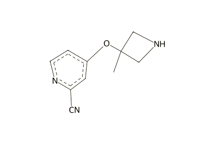 CC1(Oc2ccnc(C#N)c2)CNC1